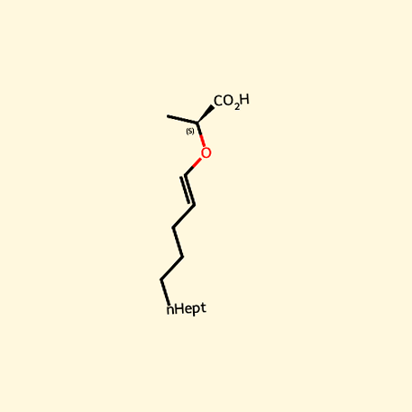 CCCCCCCCCCC=CO[C@@H](C)C(=O)O